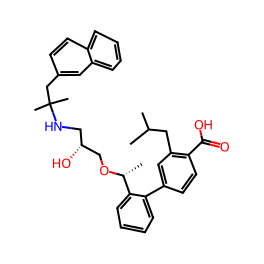 CC(C)Cc1cc(-c2ccccc2[C@@H](C)OC[C@H](O)CNC(C)(C)Cc2ccc3ccccc3c2)ccc1C(=O)O